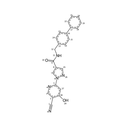 N#Cc1cnc(-n2cc(C(=O)NCc3ccc(-c4ccccc4)cc3)cn2)cc1O